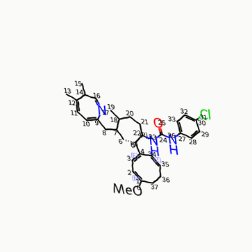 CO/C1=C/C=C([C@@H]2CC(CC3=CC=C(C)C(C)C=N3)C(C)CC[C@H]2NC(=O)Nc2ccc(Cl)cc2)\C=C/CC1